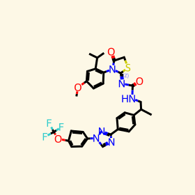 COc1ccc(N2C(=O)CS/C2=N\C(=O)NCC(C)c2ccc(-c3ncn(-c4ccc(OC(F)(F)F)cc4)n3)cc2)c(C(C)C)c1